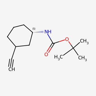 C#CC1CCC[C@H](NC(=O)OC(C)(C)C)C1